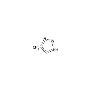 C.c1c[nH]cn1